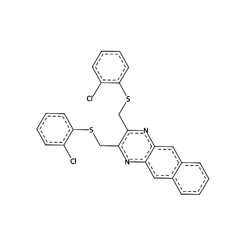 Clc1ccccc1SCc1nc2cc3ccccc3cc2nc1CSc1ccccc1Cl